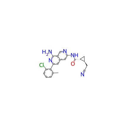 Cc1cccc(Cl)c1-c1cc2cc(NC(=O)[C@@H]3C[C@H]3CC#N)ncc2c(N)n1